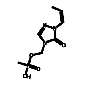 C/C=C\n1ncn(COP(C)(=O)O)c1=O